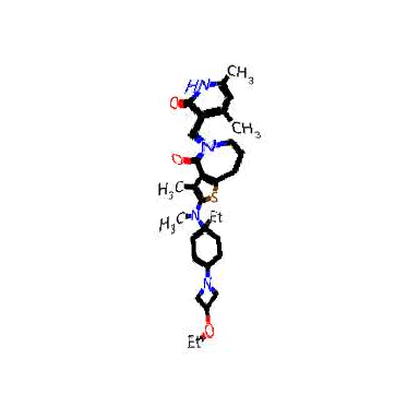 CCOC1CN(C2CCC(CC)(N(C)c3sc4c(c3C)C(=O)N(Cc3c(C)cc(C)[nH]c3=O)CCC4)CC2)C1